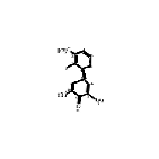 CC1=C(C(=O)O)C=CCC1=C1C=C(C(C)(C)C)C(=O)C(C(C)(C)C)=C1